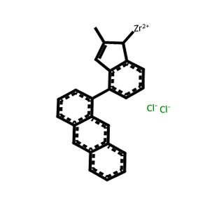 CC1=Cc2c(-c3cccc4cc5ccccc5cc34)cccc2[CH]1[Zr+2].[Cl-].[Cl-]